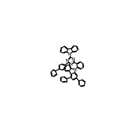 c1ccc(-c2ccc(-c3nc(-c4ccccc4-n4c5ccccc5c5c(-c6ccccc6)cc(-c6ccccc6)cc54)nc(-n4c5ccccc5c5ccccc54)n3)cc2)cc1